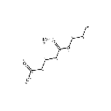 CCCOC(=O)CCCC(=O)[O-].[Na+]